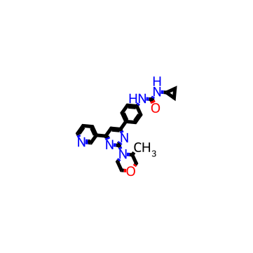 CC1COCCN1c1nc(-c2ccc(NC(=O)NC3CC3)cc2)cc(-c2cccnc2)n1